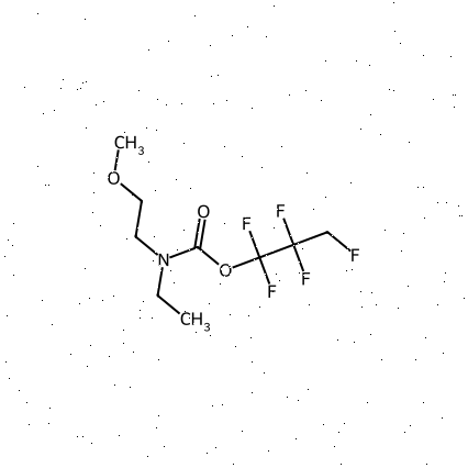 CCN(CCOC)C(=O)OC(F)(F)C(F)(F)CF